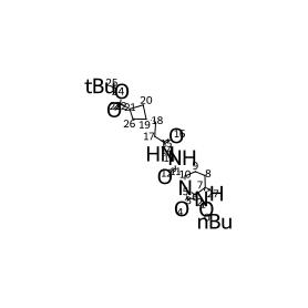 CCCCON1C(=O)N2C[C@@H]1CC[C@H]2C(=O)NNC(=O)CC[C@H]1C[C@H](C(=O)OC(C)(C)C)C1